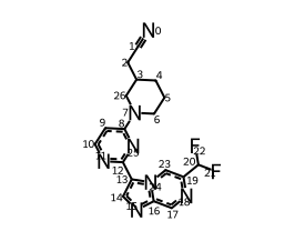 N#CCC1CCCN(c2ccnc(-c3cnc4cnc(C(F)F)cn34)n2)C1